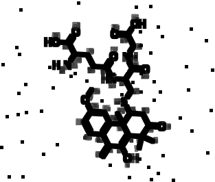 C=C1C(O)=C2C(C)(C)C(=O)CC(SCC(NC(=O)CCC(N)C(=O)O)C(=O)NCC(=O)O)C2(C)c2cc(OC)ccc21